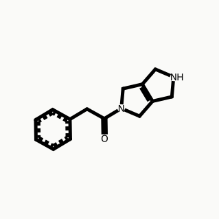 O=C(Cc1ccccc1)N1CC2=C(CNC2)C1